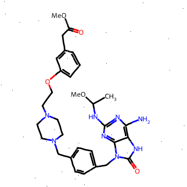 COC(=O)Cc1cccc(OCCN2CCN(Cc3ccc(Cn4c(=O)[nH]c5c(N)nc(NC(C)OC)nc54)cc3)CC2)c1